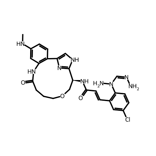 CNc1ccc2c(c1)NC(=O)CCCOC[C@H](NC(=O)/C=C/c1cc(Cl)ccc1N(N)/C=N\N)c1nc-2c[nH]1